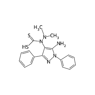 CN(C)N(C(=S)S)c1c(-c2ccccc2)nn(-c2ccccc2)c1N